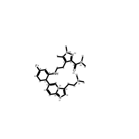 Cc1c(CCNC2=CC(F)=CCC2c2ccc3ncc(CCN(C)C)n3c2)c(C(=O)N(C)C)nn1C